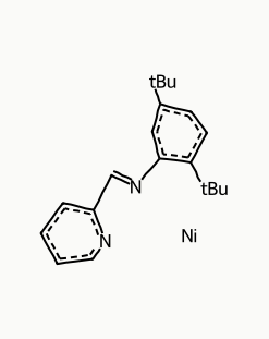 CC(C)(C)c1ccc(C(C)(C)C)c(N=Cc2ccccn2)c1.[Ni]